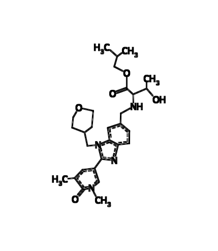 Cc1cc(-c2nc3ccc(CNC(C(=O)OCC(C)C)C(C)O)cc3n2CC2CCOCC2)cn(C)c1=O